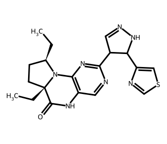 CC[C@@H]1CC[C@@]2(CC)C(=O)Nc3cnc(C4C=NNC4c4cscn4)nc3N12